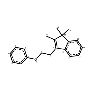 CC1=[N+](CCOc2ccccc2)c2ccccc2C1(C)C